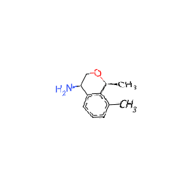 Cc1cccc2c1[C@H](C)OC[C@@H]2N